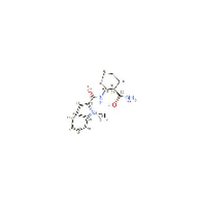 Cn1c(C(=O)N[C@H]2CCCC[C@H]2C(N)=O)cc2ccccc21